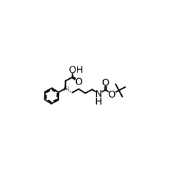 CC(C)(C)OC(=O)NCCCC[C@@H](CC(=O)O)c1ccccc1